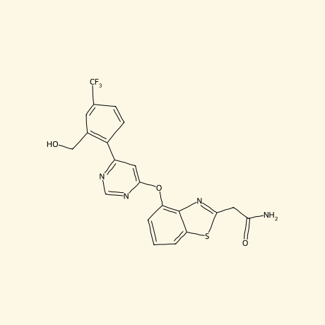 NC(=O)Cc1nc2c(Oc3cc(-c4ccc(C(F)(F)F)cc4CO)ncn3)cccc2s1